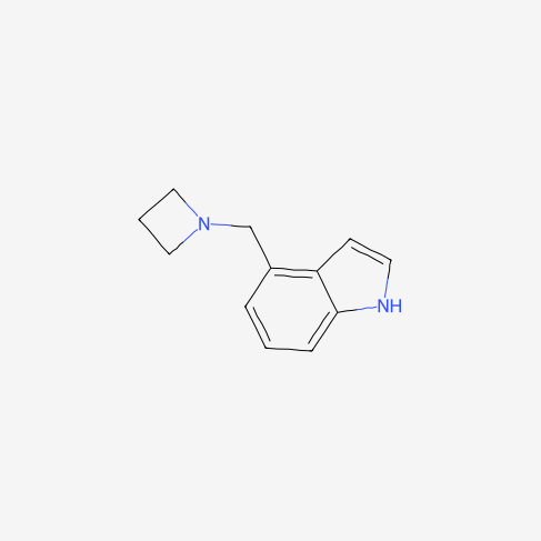 c1cc(CN2CCC2)c2cc[nH]c2c1